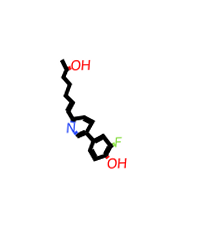 CC(O)CCCC=Cc1ccc(-c2ccc(O)c(F)c2)cn1